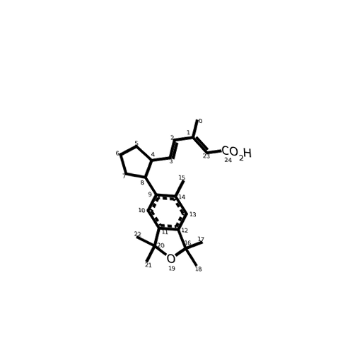 CC(C=CC1CCCC1c1cc2c(cc1C)C(C)(C)OC2(C)C)=CC(=O)O